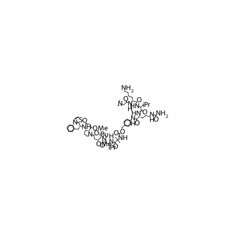 CC[C@H](C)[C@@H]([C@@H](CC(=O)N1CCC[C@H]1[C@H](OC)[C@@H](C)C(=O)N[C@@H](Cc1ccccc1)c1nccs1)OC)N(C)C(=O)[C@@H](NC(=O)C(C)(C)NC(=O)OCc1ccc(NC(=O)[C@H](CCCNC(N)=O)NC(=O)[C@@H](NC(=O)[C@H](CCCCN)NC(=O)CN(C)C)C(C)C)cc1)C(C)C